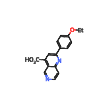 CCOc1ccc(-c2cc(C(=O)O)c3cnccc3n2)cc1